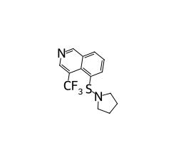 FC(F)(F)c1cncc2cccc(SN3CCCC3)c12